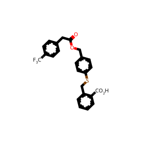 O=C(Cc1ccc(C(F)(F)F)cc1)OCc1ccc(SCc2ccccc2C(=O)O)cc1